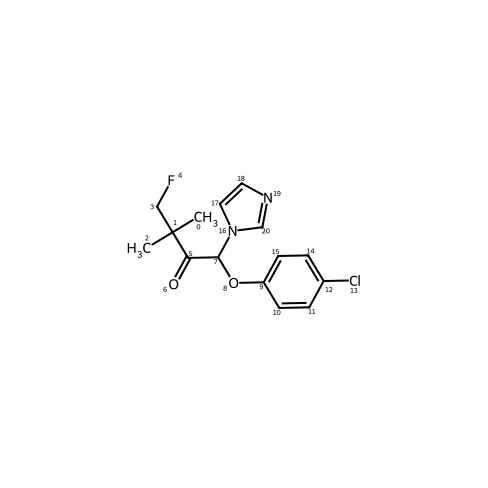 CC(C)(CF)C(=O)C(Oc1ccc(Cl)cc1)n1ccnc1